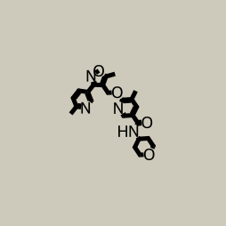 Cc1ccc(-c2noc(C)c2COc2ncc(C(=O)NC3CCOCC3)cc2C)cn1